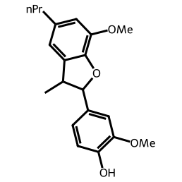 CCCc1cc(OC)c2c(c1)C(C)C(c1ccc(O)c(OC)c1)O2